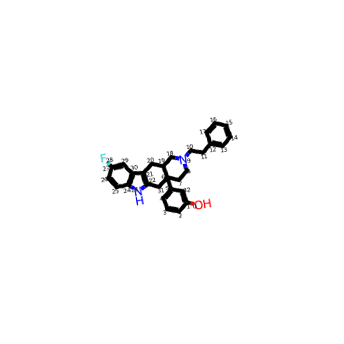 Oc1cccc(C23CCN(CCc4ccccc4)CC2Cc2c([nH]c4ccc(F)cc24)C3)c1